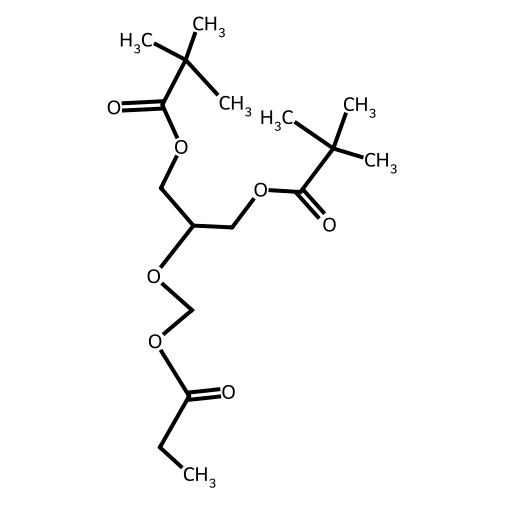 CCC(=O)OCOC(COC(=O)C(C)(C)C)COC(=O)C(C)(C)C